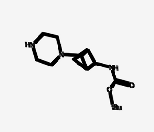 CC(C)(C)OC(=O)NC1C2CC1C2N1CCNCC1